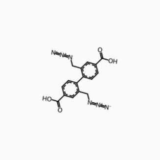 [N-]=[N+]=NCc1cc(C(=O)O)ccc1-c1ccc(C(=O)O)cc1CN=[N+]=[N-]